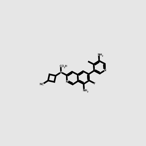 Cc1c(N)cncc1-c1cc2cc(N(C(=O)O)C3CC(C#N)C3)ncc2c(N)c1F